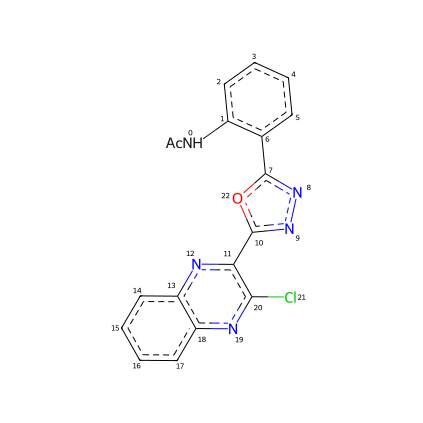 CC(=O)Nc1ccccc1-c1nnc(-c2nc3ccccc3nc2Cl)o1